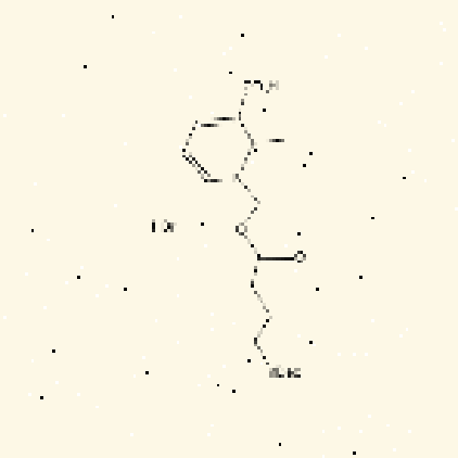 Br.CCCCCCCCCCCCCC(=O)OCN1C=CC=C(C(=O)O)C1C